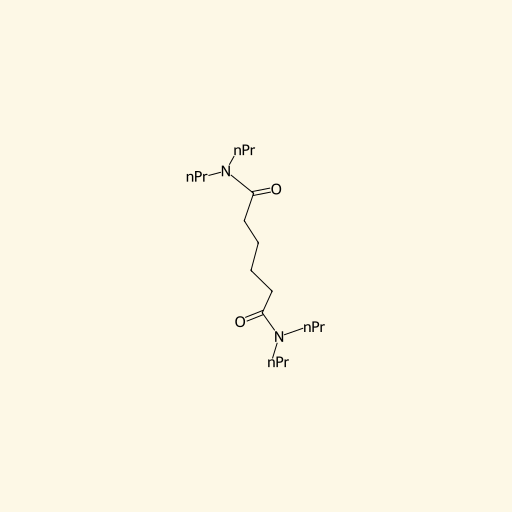 CCCN(CCC)C(=O)CCCCC(=O)N(CCC)CCC